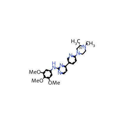 COc1cc(Nc2nccc(-c3ccc(N4CCN(C)[C@@H](C)C4)nc3)n2)cc(OC)c1OC